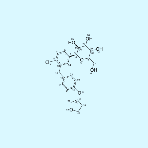 OCC1O[C@@H](c2ccc(Cl)c(Cc3ccc(O[C@@H]4CCOC4)cc3)c2)[C@@H](O)C(O)[C@@H]1O